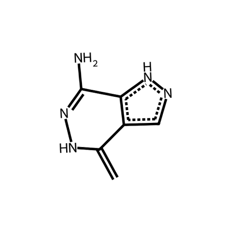 C=C1NN=C(N)c2[nH]ncc21